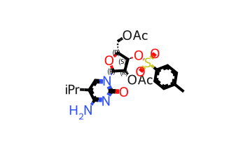 CC(=O)OC[C@H]1O[C@@H](n2cc(C(C)C)c(N)nc2=O)[C@H](OC(C)=O)[C@H]1OS(=O)(=O)c1ccc(C)cc1